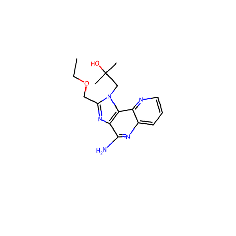 CCOCc1nc2c(N)nc3cccnc3c2n1CC(C)(C)O